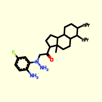 CCCC1CCC2C(CCC3(C)C(C(=O)CN(N)c4cc(F)ccc4N)CCC23)C1CCC